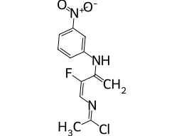 C=C(Nc1cccc([N+](=O)[O-])c1)/C(F)=C\N=C(/C)Cl